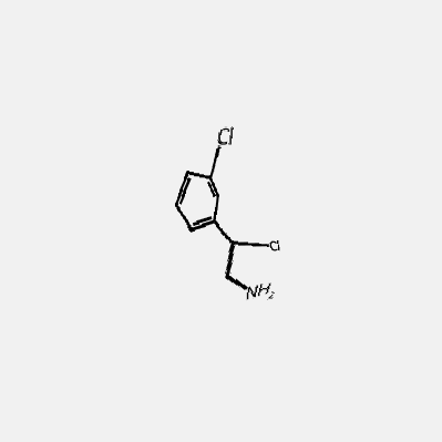 NCC(Cl)c1cccc(Cl)c1